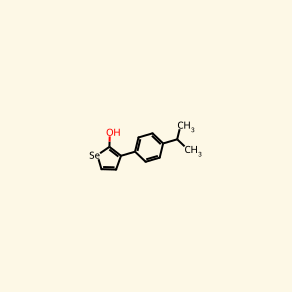 CC(C)c1ccc(-c2cc[se]c2O)cc1